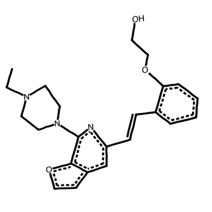 CCN1CCN(c2nc(/C=C/c3ccccc3OCCO)cc3ccoc23)CC1